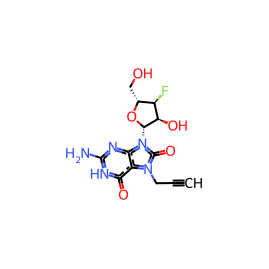 C#CCn1c(=O)n([C@@H]2O[C@H](CO)[C@@H](F)[C@H]2O)c2nc(N)[nH]c(=O)c21